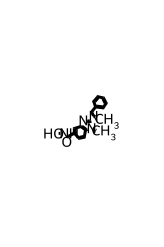 CN(Cc1ccccc1)c1nc2cc(C(=O)NO)ccc2n1C